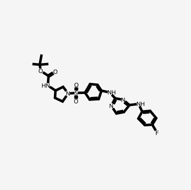 CC(C)(C)OC(=O)NC1CCN(S(=O)(=O)c2ccc(Nc3nccc(Nc4ccc(F)cc4)n3)cc2)C1